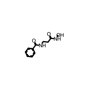 O=C(CCNC(=O)c1ccccc1)NO